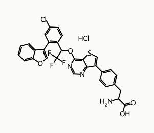 Cl.NC(Cc1ccc(-c2csc3c(OC(c4ccc(Cl)cc4-c4coc5ccccc45)C(F)(F)F)ncnc23)cc1)C(=O)O